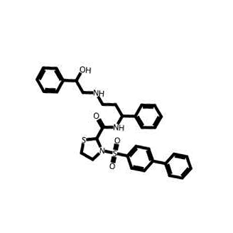 O=C(NC(CCNCC(O)c1ccccc1)c1ccccc1)C1SCCN1S(=O)(=O)c1ccc(-c2ccccc2)cc1